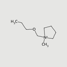 CCCOC[N+]1(C)CCCC1